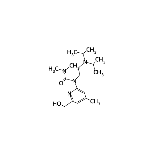 Cc1cc(CO)nc(N(CCN(C(C)C)C(C)C)C(=O)N(C)C)c1